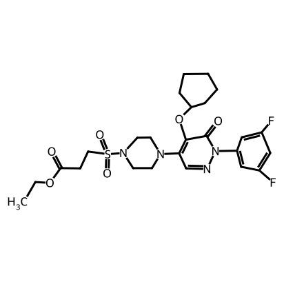 CCOC(=O)CCS(=O)(=O)N1CCN(c2cnn(-c3cc(F)cc(F)c3)c(=O)c2OC2CCCCC2)CC1